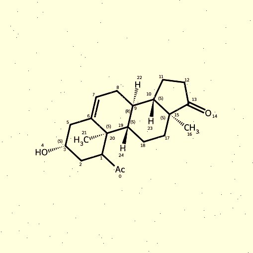 CC(=O)C1C[C@H](O)CC2=CC[C@H]3[C@@H]4CCC(=O)[C@@]4(C)CC[C@@H]3[C@]21C